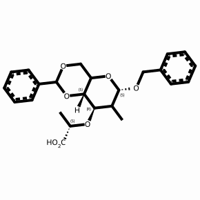 CC1[C@@H](OCc2ccccc2)OC2COC(c3ccccc3)O[C@H]2[C@@H]1O[C@@H](C)C(=O)O